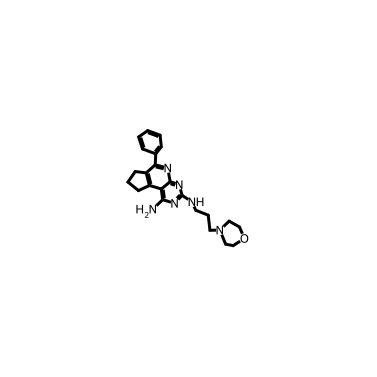 Nc1nc(NCCCN2CCOCC2)nc2nc(-c3ccccc3)c3c(c12)CCC3